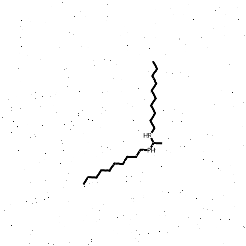 CCCCCCCCCCPC(C)PCCCCCCCCCC